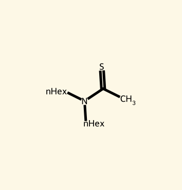 CCCCCCN(CCCCCC)C(C)=S